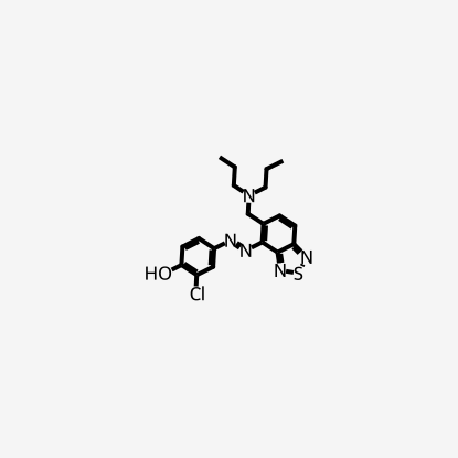 CCCN(CCC)Cc1ccc2nsnc2c1/N=N/c1ccc(O)c(Cl)c1